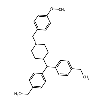 CCc1ccc(C(c2ccc(CC)cc2)C2CCN(Cc3ccc(OC)cc3)CC2)cc1